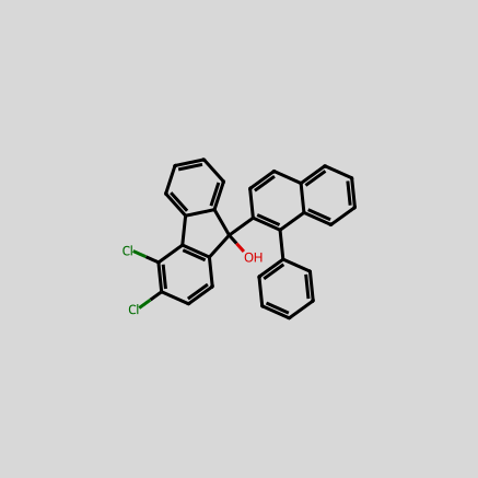 OC1(c2ccc3ccccc3c2-c2ccccc2)c2ccccc2-c2c1ccc(Cl)c2Cl